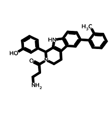 Cc1ccccc1-c1ccc2[nH]c3c(c2c1)CCN(C(=O)CCN)C3c1cccc(O)c1